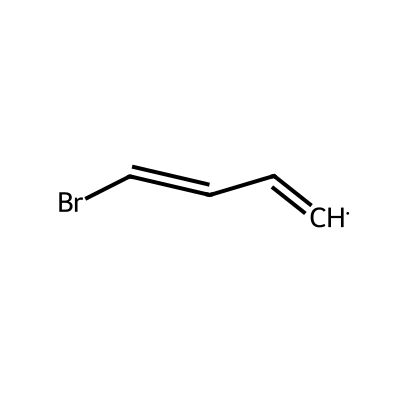 [CH]=C/C=C/Br